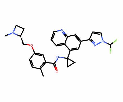 Cc1ccc(OC[C@@H]2CCN2C)cc1C(=O)NC1(c2cc(-c3ccn(C(F)F)n3)cc3ncccc23)CC1